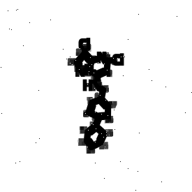 Clc1cc(NCc2ccc(-c3ccccc3)cc2)n2ncc(Cl)c2n1